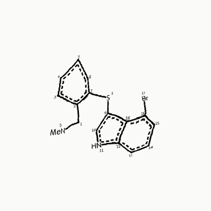 CNCc1ccccc1Sc1c[nH]c2cccc(Br)c12